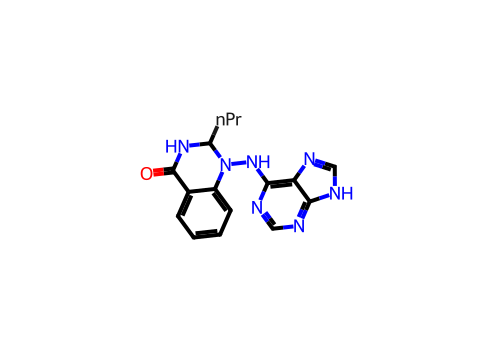 CCCC1NC(=O)c2ccccc2N1Nc1ncnc2[nH]cnc12